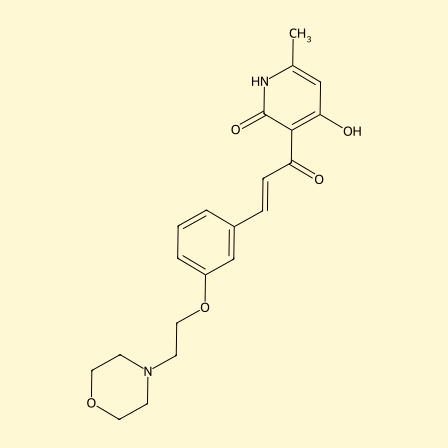 Cc1cc(O)c(C(=O)C=Cc2cccc(OCCN3CCOCC3)c2)c(=O)[nH]1